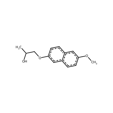 COc1ccc2cc(OCC(C)O)ccc2c1